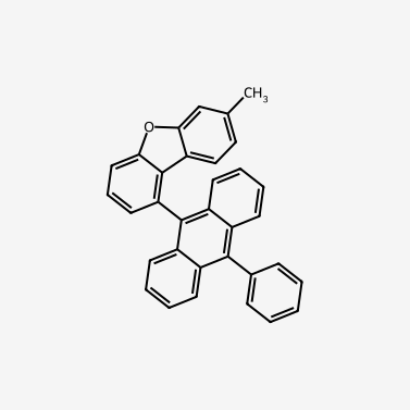 Cc1ccc2c(c1)oc1cccc(-c3c4ccccc4c(-c4ccccc4)c4ccccc34)c12